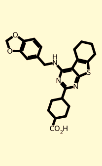 O=C(O)C1CCC(c2nc(NCc3ccc4c(c3)OCO4)c3c4c(sc3n2)CCCC4)CC1